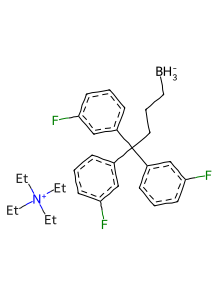 CC[N+](CC)(CC)CC.[BH3-]CCCC(c1cccc(F)c1)(c1cccc(F)c1)c1cccc(F)c1